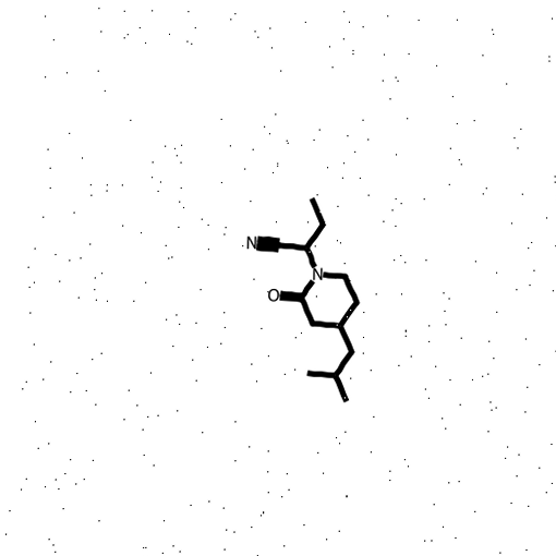 CCC(C#N)N1CCC(CC(C)C)CC1=O